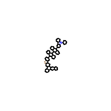 c1ccc(-n2c3ccccc3c3cc(-c4c5ccccc5c(-c5c6ccccc6c(-c6ccc7sc8cc9c%10ccccc%10c%10cc%11ccccc%11cc%10c9cc8c7c6)c6ccccc56)c5ccccc45)ccc32)cc1